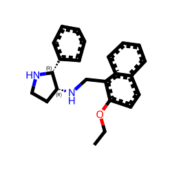 CCOc1ccc2ccccc2c1CN[C@@H]1CCN[C@@H]1c1ccccc1